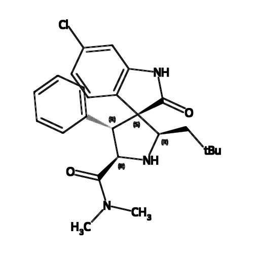 CN(C)C(=O)[C@@H]1N[C@H](CC(C)(C)C)[C@]2(C(=O)Nc3cc(Cl)ccc32)[C@H]1c1ccccc1